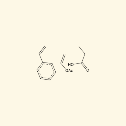 C=COC(C)=O.C=Cc1ccccc1.CCC(=O)O